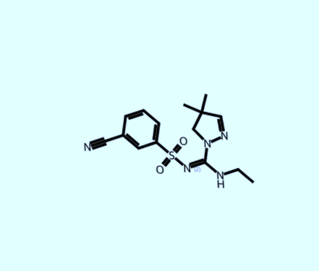 CCN/C(=N/S(=O)(=O)c1cccc(C#N)c1)N1CC(C)(C)C=N1